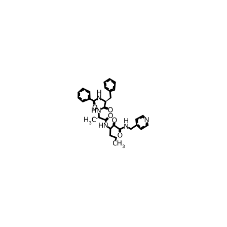 CCCC(NC(=O)[C@H](C)NC(=O)[C@H](Cc1ccccc1)NC(=O)c1ccccc1)C(=O)C(=O)NCc1ccncc1